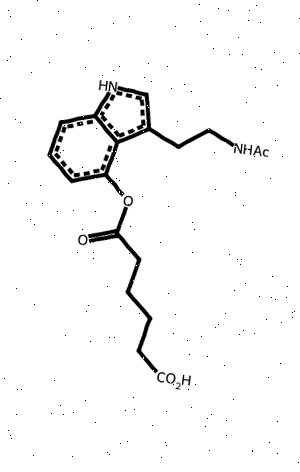 CC(=O)NCCc1c[nH]c2cccc(OC(=O)CCCCC(=O)O)c12